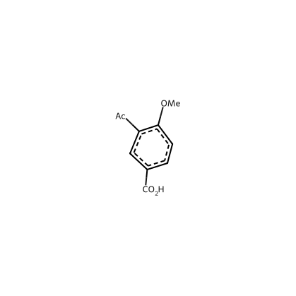 COc1ccc(C(=O)O)cc1C(C)=O